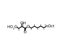 CCCCCCCCCCCCCOC(=O)C(O)CC(=O)O